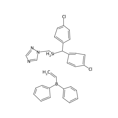 C=CB(c1ccccc1)c1ccccc1.Clc1ccc(C([SiH2]Cn2cncn2)c2ccc(Cl)cc2)cc1